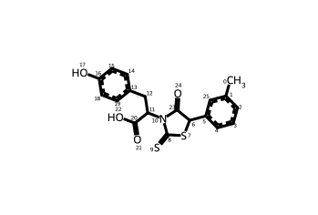 Cc1cccc(C2SC(=S)N(C(Cc3ccc(O)cc3)C(=O)O)C2=O)c1